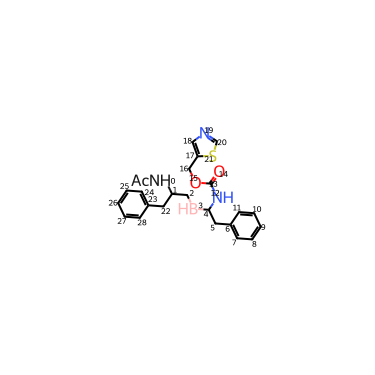 CC(=O)NC(CBC(Cc1ccccc1)NC(=O)OCc1cncs1)Cc1ccccc1